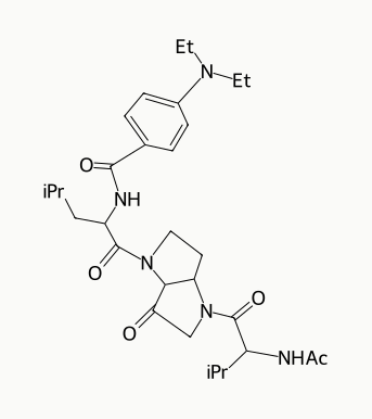 CCN(CC)c1ccc(C(=O)NC(CC(C)C)C(=O)N2CCC3C2C(=O)CN3C(=O)C(NC(C)=O)C(C)C)cc1